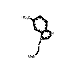 CNCCn1cnc2ccc(C(=O)O)cc21